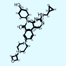 O=c1c2cc(N3CCN(C4COC4)CC3)ccc2c2cnc(NCC3CC3)nc2n1C1CCC(O)CC1